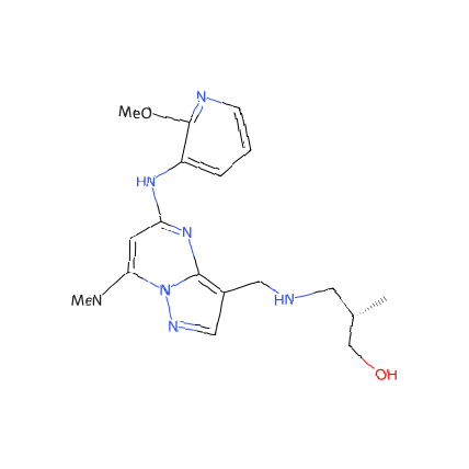 CNc1cc(Nc2cccnc2OC)nc2c(CNC[C@H](C)CO)cnn12